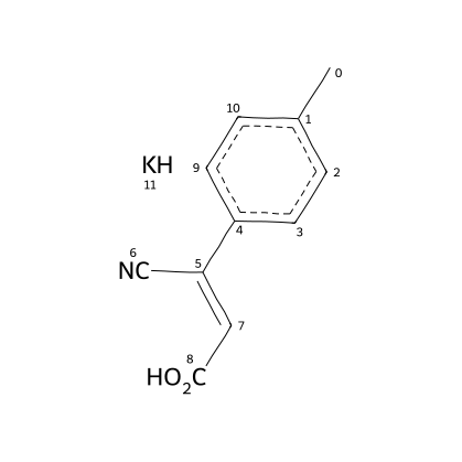 Cc1ccc(/C(C#N)=C/C(=O)O)cc1.[KH]